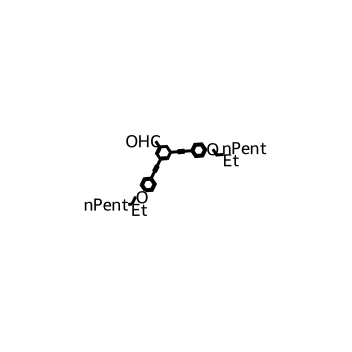 CCCCCC(CC)COc1ccc(C#CC2=CC(C#Cc3ccc(OCC(CC)CCCCC)cc3)CC(C=O)=C2)cc1